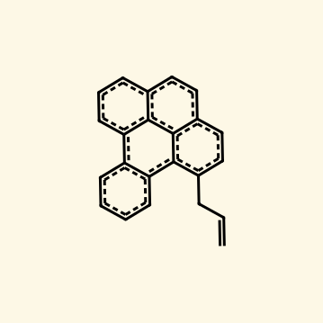 C=CCc1ccc2ccc3cccc4c5ccccc5c1c2c34